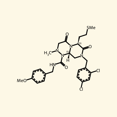 COc1ccc(CNC(=O)N2[C@H]3CN(Cc4ccc(Cl)cc4Cl)C(=O)[C@H](CCSC)N3C(=O)CN2C)cc1